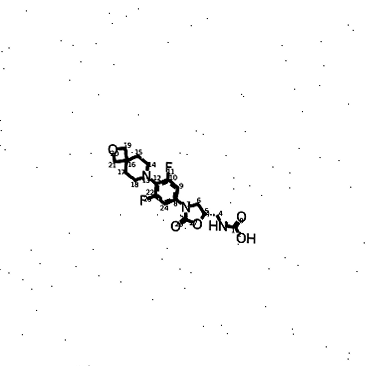 O=C(O)NC[C@H]1CN(c2cc(F)c(N3CCC4(CC3)COC4)c(F)c2)C(=O)O1